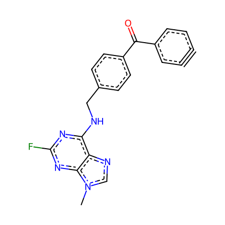 Cn1cnc2c(NCc3ccc(C(=O)c4cc#ccc4)cc3)nc(F)nc21